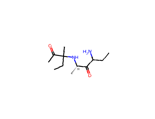 CCC(N)C(=O)[C@H](C)NC(C)(CC)C(C)=O